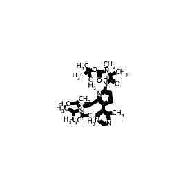 Cc1ncncc1-c1ccc(NC(=O)C(C)N(C)C(=O)OC(C)(C)C)nc1C#C[Si](C(C)C)(C(C)C)C(C)C